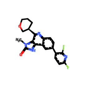 Cn1c(=O)[nH]c2c3cc(-c4ccc(F)nc4F)ccc3nc([C@@H]3CCCOC3)c21